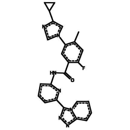 Cc1cc(F)c(C(=O)Nc2cccc(-c3nnc4ccccn34)n2)cc1-n1cnc(C2CC2)c1